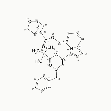 CC(C)(C)C(=O)N[C@H](COCc1ccccc1)c1nnc2cccc(COC(=O)N3CC4CC3CO4)n12